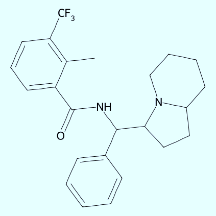 Cc1c(C(=O)NC(c2ccccc2)C2CCC3CCCCN32)cccc1C(F)(F)F